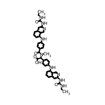 CCNC(=O)Nc1cc2cccc(Nc3ccc(C(=O)N(C)C(C(=O)O)c4ccc(Nc5cccc6cc(NC(=O)NCC)ncc56)cc4)cc3)c2cn1